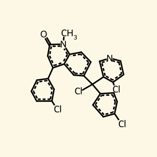 Cn1c(=O)cc(-c2cccc(Cl)c2)c2cc(C(Cl)(c3ccc(Cl)cc3)c3cnccc3Cl)ccc21